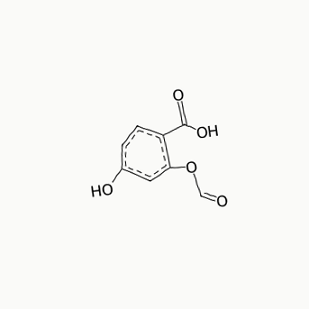 O=COc1cc(O)ccc1C(=O)O